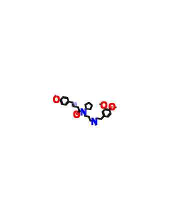 COc1ccc(/C=C/CC(=O)N(CCCN(C)CCc2ccc(OC)c(OC)c2)C2CCCC2)cc1